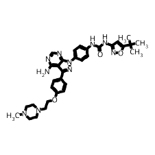 CN1CCN(CCOc2ccc(-c3nn(-c4ccc(NC(=O)Nc5cc(C(C)(C)C)on5)cc4)c4ncnc(N)c34)cc2)CC1